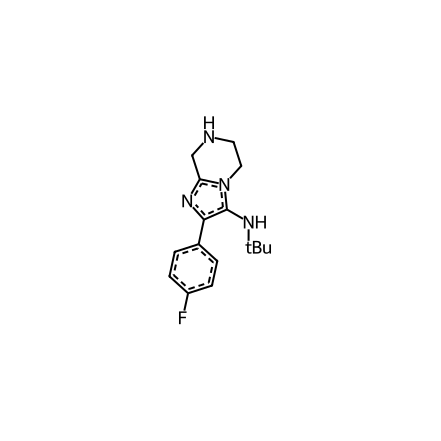 CC(C)(C)Nc1c(-c2ccc(F)cc2)nc2n1CCNC2